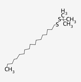 CCCCCCCCCCCCCCCCCCSSC(C)(C)C